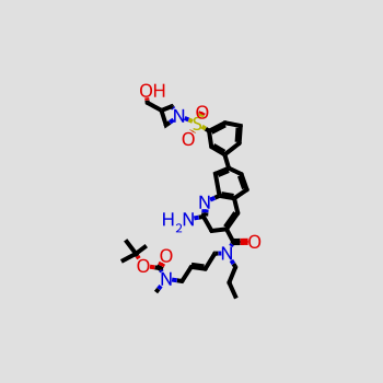 CCCN(C/C=C/CN(C)C(=O)OC(C)(C)C)C(=O)C1=Cc2ccc(-c3cccc(S(=O)(=O)N4CC(CO)C4)c3)cc2N=C(N)C1